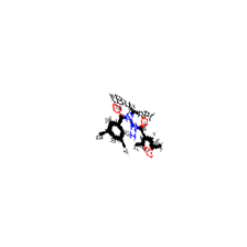 CCCC(N(NC(=O)c1cc(C)oc1C)C(=O)c1cc(C)cc(C)c1)C(C)(C)C